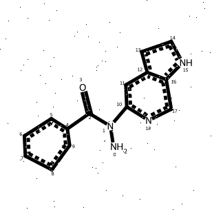 NN(C(=O)c1ccccc1)c1cc2cc[nH]c2cn1